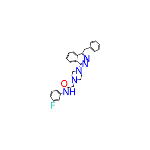 O=C(CN1CCN(c2nnc(Cc3ccccc3)c3ccccc23)CC1)Nc1cccc(F)c1